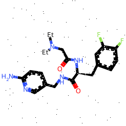 CCN(CC)CC(=O)N[C@@H](Cc1ccc(F)c(F)c1)C(=O)NCc1ccc(N)nc1